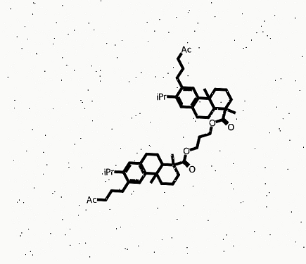 CC(=O)CCCc1cc2c(cc1C(C)C)CCC1C(C)(C(=O)OCCCOC(=O)C3(C)CCCC4(C)c5cc(CCCC(C)=O)c(C(C)C)cc5CCC34)CCCC21C